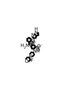 NC(=O)C1C=CC=CC1(Oc1cnc2[nH]ccc2c1)S(=O)(=O)c1ccc(NC2CCN([C@H]3CCOC[C@H]3F)CC2)c([N+](=O)[O-])c1